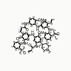 C=CC(=O)Nc1cc(Nc2nc(/C=C\C(=O)Nc3ccc(OC)c(Nc4ncc(C=C)c(Nc5ccccc5P(C)(C)=O)n4)c3)c(Cl)c(Nc3ccccc3P(C)(C)=O)n2)c(OC)cc1C1CCN(C)CC1